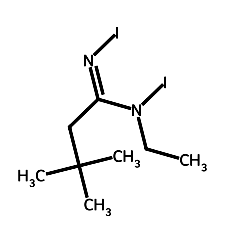 CCN(I)/C(CC(C)(C)C)=N\I